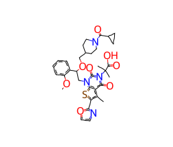 COc1ccccc1C(Cn1c(=O)n(C(C)(C)C(=O)O)c(=O)c2c(C)c(-c3ncco3)sc21)OCC1CCN(C(=O)C2CC2)CC1